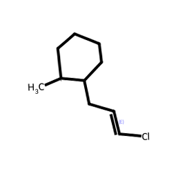 C[C]1CCCCC1C/C=C/Cl